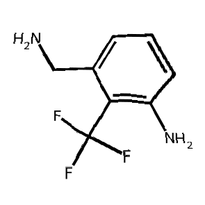 NCc1cccc(N)c1C(F)(F)F